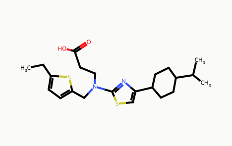 CCc1ccc(CN(CCC(=O)O)c2nc(C3CCC(C(C)C)CC3)cs2)s1